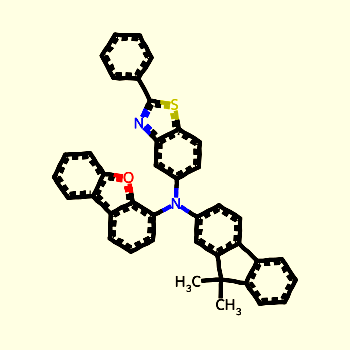 CC1(C)c2ccccc2-c2ccc(N(c3ccc4sc(-c5ccccc5)nc4c3)c3cccc4c3oc3ccccc34)cc21